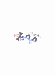 Cc1ccnc(Nc2cc(C)cc(-n3cnc(C(O)(C4CC4)C4CC4)c3)n2)c1